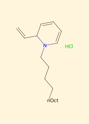 C=CC1C=CC=CN1CCCCCCCCCCCC.Cl